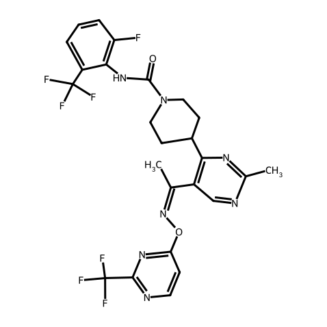 CC(=NOc1ccnc(C(F)(F)F)n1)c1cnc(C)nc1C1CCN(C(=O)Nc2c(F)cccc2C(F)(F)F)CC1